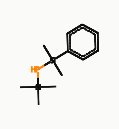 C[Si](C)(C)P[Si](C)(C)c1ccccc1